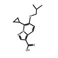 CC(C)COc1ccc2c(C(=O)O)cnn2c1C1CC1